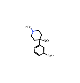 CCCN1CCC(N=O)(c2cccc(SC)c2)CC1